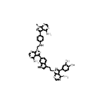 Cn1nc(-c2ccc(NCn3nc(-c4ccc5c(CCn6nc(-c7ccc(O)c(O)c7)c7c(N)ncnc76)c[nH]c5c4)c4c(N)ncnc43)cc2)c2c(N)ncnc21